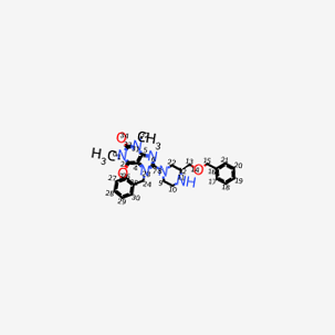 Cn1c(=O)c2c(nc(N3CCN[C@H](COCc4ccccc4)C3)n2Cc2ccccc2)n(C)c1=O